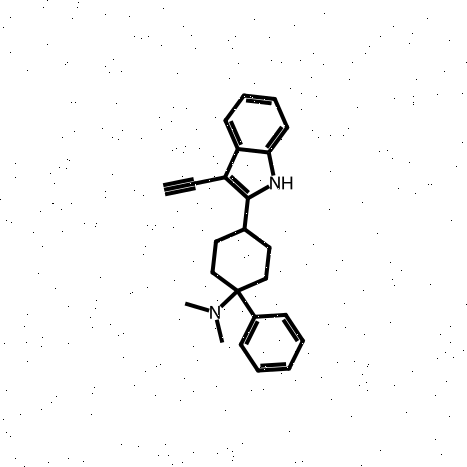 C#Cc1c(C2CCC(c3ccccc3)(N(C)C)CC2)[nH]c2ccccc12